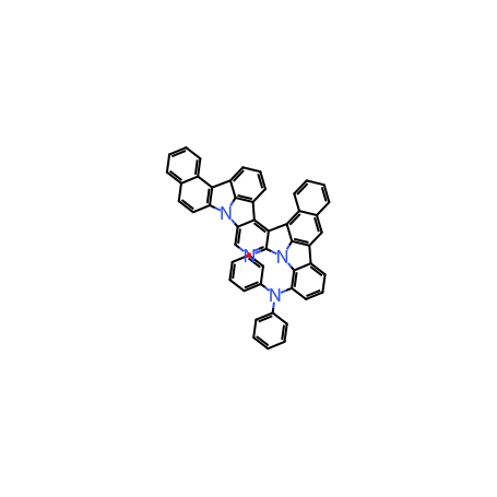 c1ccc(N(c2ccccc2)c2cccc3c4cc5ccccc5c5c6c7c8cccc9c%10c%11ccccc%11ccc%10n(c7cnc6n(c23)c45)c98)cc1